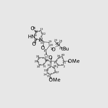 COc1ccc(C(OC[C@H]2O[C@@H](n3ccc(=O)[nH]c3=O)C[C@@H]2O[Si](C)(C)C(C)(C)C)(c2ccccc2)c2ccc(OC)cc2)cc1